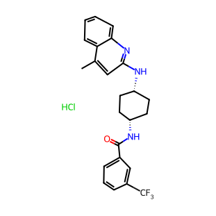 Cc1cc(N[C@H]2CC[C@@H](NC(=O)c3cccc(C(F)(F)F)c3)CC2)nc2ccccc12.Cl